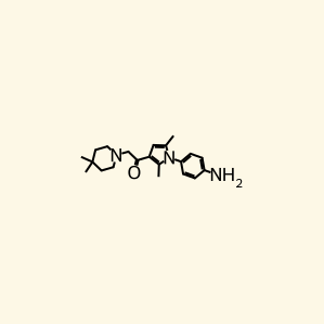 Cc1cc(C(=O)CN2CCC(C)(C)CC2)c(C)n1-c1ccc(N)cc1